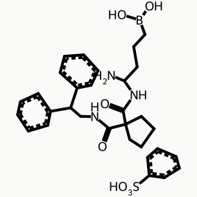 NC(CCCB(O)O)NC(=O)C1(C(=O)NCC(c2ccccc2)c2ccccc2)CCCC1.O=S(=O)(O)c1ccccc1